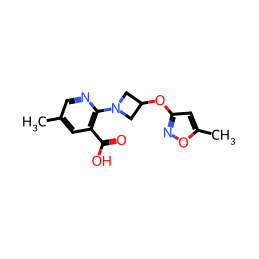 Cc1cnc(N2CC(Oc3cc(C)on3)C2)c(C(=O)O)c1